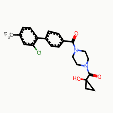 O=C(c1ccc(-c2ccc(C(F)(F)F)cc2Cl)cc1)N1CCN(C(=O)C2(O)CC2)CC1